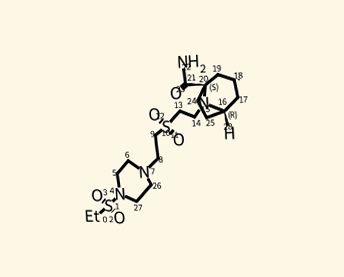 CCS(=O)(=O)N1CCN(CCS(=O)(=O)CCN2[C@@H]3C[CH]C[C@@]2(C(N)=O)CC3)CC1